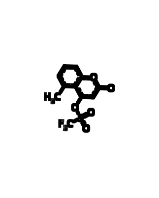 Cc1cccc2oc(=O)cc(OS(=O)(=O)C(F)(F)F)c12